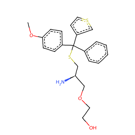 COc1ccc(C(SC[C@H](N)COCCO)(c2ccccc2)c2ccsc2)cc1